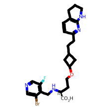 O=C(O)[C@H](CCOC1CC(CCc2ccc3c(n2)NCCC3)C1)NCc1c(F)cncc1Br